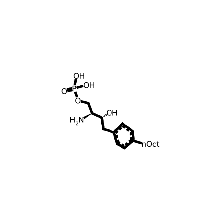 CCCCCCCCc1ccc(C[C@@H](O)[C@@H](N)COP(=O)(O)O)cc1